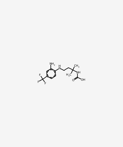 CC(C)(CCNc1ccc(C(F)(F)F)cc1N)NC(=O)O